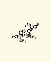 CCS(=O)(=O)Nc1cc2oc(-c3ccc(F)cc3)c(C(=O)NC)c2cc1-c1ccc2nnn([C@H](COC)c3ccc(F)cc3)c(=O)c2c1